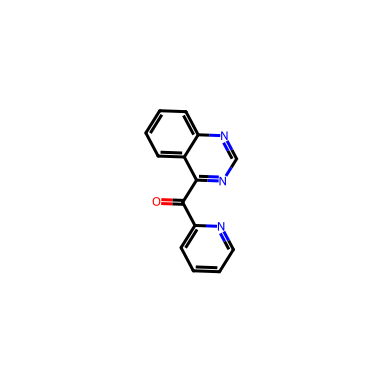 O=C(c1ccccn1)c1ncnc2ccccc12